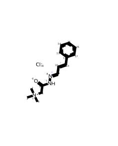 C[N+](C)(C)CC(=O)N/N=C/C=C/c1ccccc1.[Cl-]